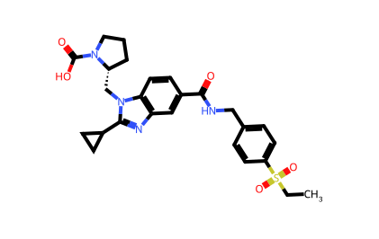 CCS(=O)(=O)c1ccc(CNC(=O)c2ccc3c(c2)nc(C2CC2)n3C[C@H]2CCCN2C(=O)O)cc1